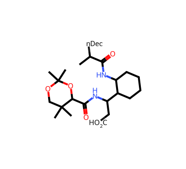 CCCCCCCCCCC(C)C(=O)NC1CCCCC1C(CC(=O)O)NC(=O)C1OC(C)(C)OCC1(C)C